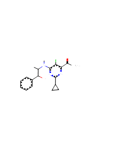 COC(=O)c1nc(C2CC2)nc(N(C)C(C)C(O)c2ccccc2)c1Cl